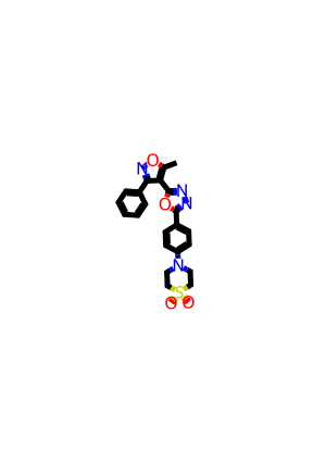 Cc1onc(-c2ccccc2)c1-c1nnc(-c2ccc(N3CCS(=O)(=O)CC3)cc2)o1